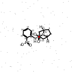 O=C(O)N1[C@@H]2CC[C@H]1C[C@@H](Nc1ccccc1[N+](=O)[O-])C2